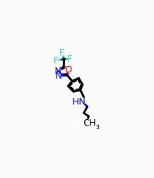 CCCCNCc1ccc(-c2nnc(C(F)(F)F)o2)cc1